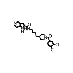 O=C(NCCCCC1CCN(C(=O)c2ccc(Cl)c(Cl)c2)CC1)c1cc2cnccc2[nH]1